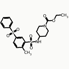 CCOC(=O)N1CCC(NS(=O)(=O)c2cc(S(=O)(=O)c3ccccc3)ccc2C)CC1